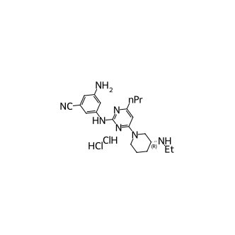 CCCc1cc(N2CCC[C@@H](NCC)C2)nc(Nc2cc(N)cc(C#N)c2)n1.Cl.Cl